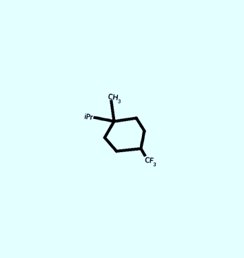 CC(C)C1(C)CCC(C(F)(F)F)CC1